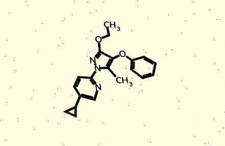 CCOc1nn(-c2ccc(C3CC3)cn2)c(C)c1Oc1ccccc1